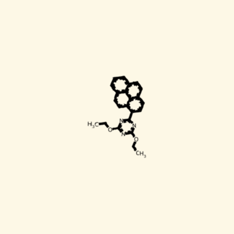 CCOc1nc(OCC)nc(-c2ccc3ccc4cccc5ccc2c3c45)n1